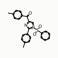 Cc1ccc(C(=O)c2cn(S(=O)(=O)c3ccccc3)c(-c3ccc(C)cc3)n2)cc1